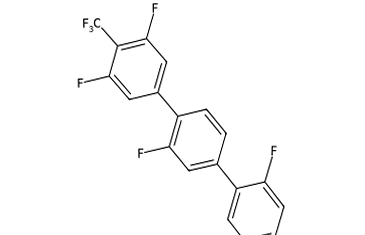 Fc1ccccc1-c1ccc(-c2cc(F)c(C(F)(F)F)c(F)c2)c(F)c1